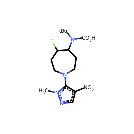 Cn1ncc([N+](=O)[O-])c1N1CCC(F)C(N(C(=O)O)C(C)(C)C)CC1